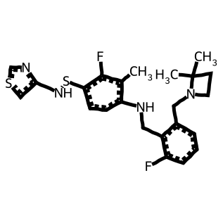 Cc1c(NCc2c(F)cccc2CN2CCC2(C)C)ccc(SNc2cscn2)c1F